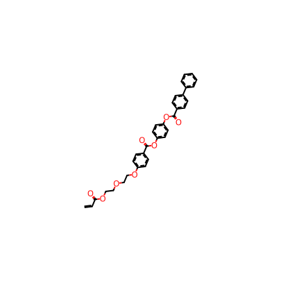 C=CC(=O)OCCOCCOc1ccc(C(=O)Oc2ccc(OC(=O)c3ccc(-c4ccccc4)cc3)cc2)cc1